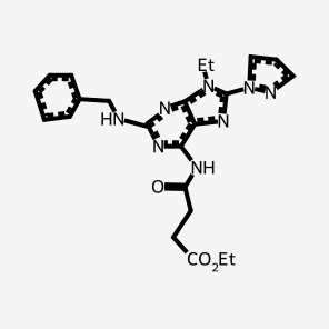 CCOC(=O)CCC(=O)Nc1nc(NCc2ccccc2)nc2c1nc(-n1cccn1)n2CC